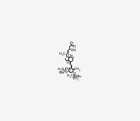 C=C1/C(=C/C=C2CCC[C@]3(C)[C@@H]([C@H](C)C=C[C@H](O)CC(CC)CC)CC[C@@H]23)C[C@@H](O[Si](C)(C)C(C)(C)C)C[C@@H]1O[Si](C)(C)C(C)(C)C